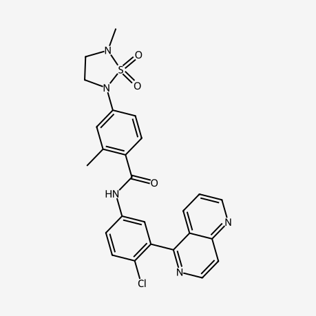 Cc1cc(N2CCN(C)S2(=O)=O)ccc1C(=O)Nc1ccc(Cl)c(-c2nccc3ncccc23)c1